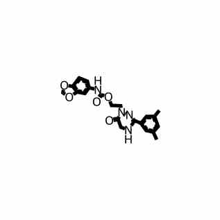 Cc1cc(C)cc(C2=NN(CCOC(=O)Nc3ccc4c(c3)OCO4)C(=O)CN2)c1